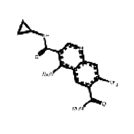 CNC(=O)c1cc2c(NC)c(C(=O)NC3CC3)cnc2cc1C(F)(F)F